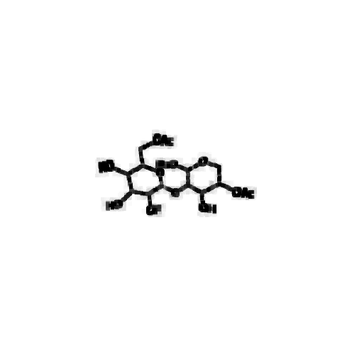 CC(=O)OCC1OC(OC2C(OCC(C)C)OCC(OC(C)=O)C2O)C(O)C(O)C1O